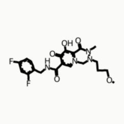 COCCCN1Cn2cc(C(=O)NCc3ccc(F)cc3F)c(=O)c(O)c2C(=O)N1C